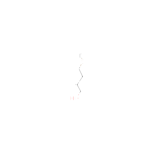 CCSCCCCO